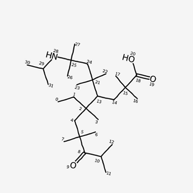 CCC(C)(CC(C)(C)C(=O)C(C)C)C(CC(C)(C)C(=O)O)C(C)(C)CC(C)(C)NC(C)C